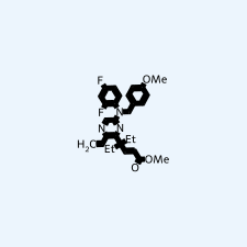 C=Cc1ncc(N(Cc2ccc(OC)cc2)c2ccc(F)cc2F)nc1C(/C=C/C(=O)OC)(CC)CC